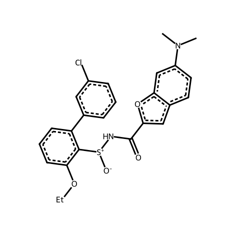 CCOc1cccc(-c2cccc(Cl)c2)c1[S+]([O-])NC(=O)c1cc2ccc(N(C)C)cc2o1